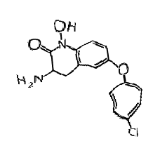 NC1Cc2cc(Oc3ccc(Cl)cc3)ccc2N(O)C1=O